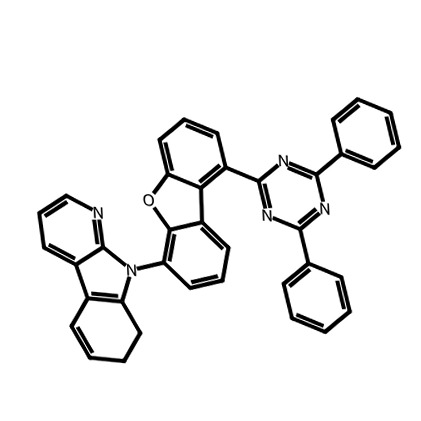 C1=Cc2c(n(-c3cccc4c3oc3cccc(-c5nc(-c6ccccc6)nc(-c6ccccc6)n5)c34)c3ncccc23)CC1